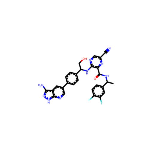 CC(NC(=O)c1nc(C#N)cnc1NC(CO)c1ccc(-c2cnc3[nH]nc(N)c3c2)cc1)c1ccc(F)c(F)c1